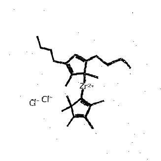 CCCCC1=CC(CCCC)=C(C)[C]1(C)[Zr+2][C]1=C(C)C(C)=C(C)C1(C)C.[Cl-].[Cl-]